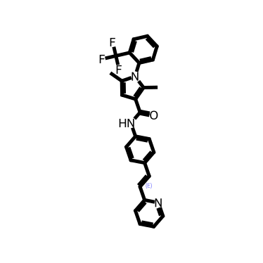 Cc1cc(C(=O)Nc2ccc(/C=C/c3ccccn3)cc2)c(C)n1-c1ccccc1C(F)(F)F